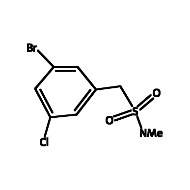 CNS(=O)(=O)Cc1cc(Cl)cc(Br)c1